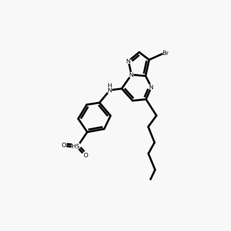 CCCCCCc1cc(Nc2ccc([SH](=O)=O)cc2)n2ncc(Br)c2n1